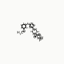 COc1cccc(Cc2nsc(N3CCN(S(=O)(=O)CC(F)(F)F)CC3)n2)c1